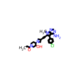 C=CC(=O)N1CC[C@@H](N2CC(C#Cc3c(-c4ccc(Cl)cc4)c4c(N)ncnc4n3C)C2)[C@@H](O)C1